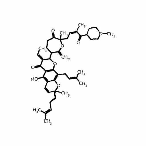 C=C1OC(C)(C/C=C(/C)C(=O)C2CCN(C)CC2)C(=O)CCC1C1Oc2c(CC=C(C)C)c3c(c(O)c2C(=O)/C1=C/C)C=CC(C)(CCC=C(C)C)O3